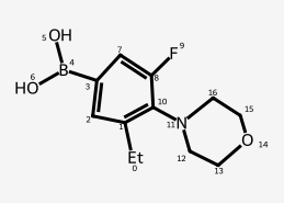 CCc1cc(B(O)O)cc(F)c1N1CCOCC1